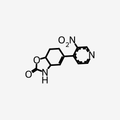 O=C1NC2C=C(c3ccncc3[N+](=O)[O-])CCC2O1